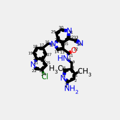 Cc1cc(N)nc(C)c1CNC(=O)c1cn(Cc2ccc3ncc(Cl)cc3c2)c2ccnc(C#N)c12